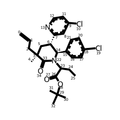 C=CC[C@@]1(C)C[C@H](c2cc(Cl)ccn2)[C@@H](c2ccc(Cl)cc2)N(C(CC)C(=O)OC(C)(C)C)C1=O